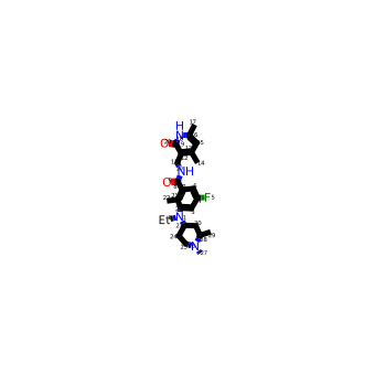 CCN(c1cc(F)cc(C(=O)NCc2c(C)cc(C)[nH]c2=O)c1C)C1CCN(C)C(C)C1